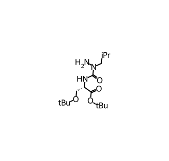 CC(C)CN(N)C(=O)N[C@@H](COC(C)(C)C)C(=O)OC(C)(C)C